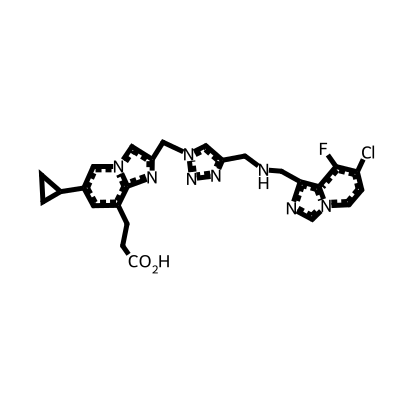 O=C(O)CCc1cc(C2CC2)cn2cc(Cn3cc(CNCc4ncn5ccc(Cl)c(F)c45)nn3)nc12